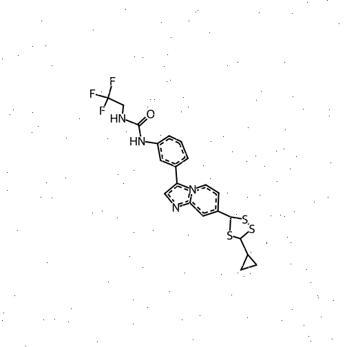 O=C(NCC(F)(F)F)Nc1cccc(-c2cnc3cc(C4SSC(C5CC5)S4)ccn23)c1